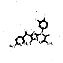 COc1ccc(C(=O)c2sc(N(c3ccc(F)c(F)c3)C(C)C(N)=O)nc2N)cn1